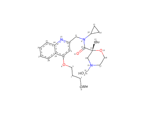 COCCCOc1cc(CN(C(=O)[C@@]2(C(C)(C)C)CN(C(=O)O)CCO2)C2CC2)nc2ccccc12